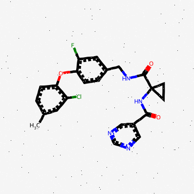 Cc1ccc(Oc2ccc(CNC(=O)C3(NC(=O)c4cncnc4)CC3)cc2F)c(Cl)c1